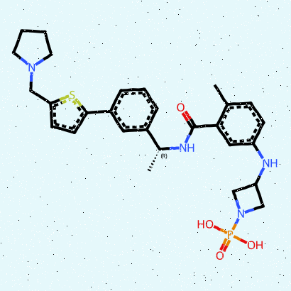 Cc1ccc(NC2CN(P(=O)(O)O)C2)cc1C(=O)N[C@H](C)c1cccc(-c2ccc(CN3CCCC3)s2)c1